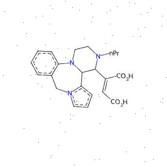 CCCN1CCN2c3ccccc3Cn3cccc3C2C1C(=CC(=O)O)C(=O)O